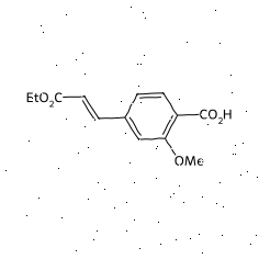 CCOC(=O)C=Cc1ccc(C(=O)O)c(OC)c1